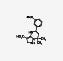 COc1cccc(C2CC(C)(C)N3NCC(C(=O)O)=C3N2)c1